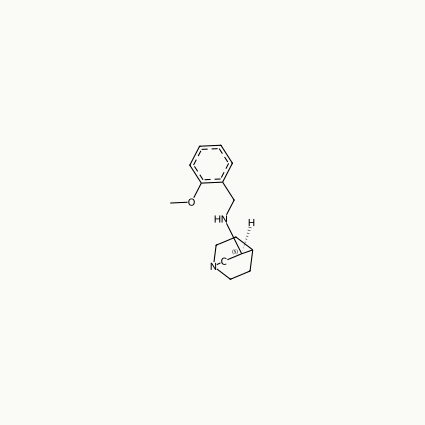 COc1ccccc1CN[C@@H]1CN2CCC1CC2